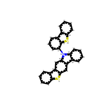 c1ccc2c(c1)sc1cc3c4ccccc4n(-c4cccc5c4sc4ccccc45)c3cc12